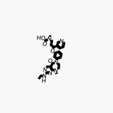 CCNc1ncc2c(n1)N(C)CCN(c1cccc(OC(CCN(C)C(=O)O)c3cccnc3)c1)C2=O